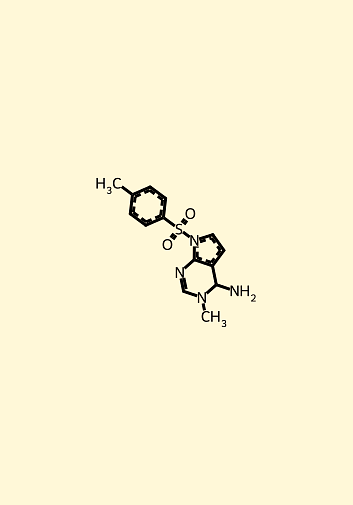 Cc1ccc(S(=O)(=O)n2ccc3c2N=CN(C)C3N)cc1